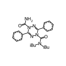 CCC(C)N(C(=O)N1N=C(c2ccccc2)N(C(N)=O)N=C1c1ccccc1)C(C)CC